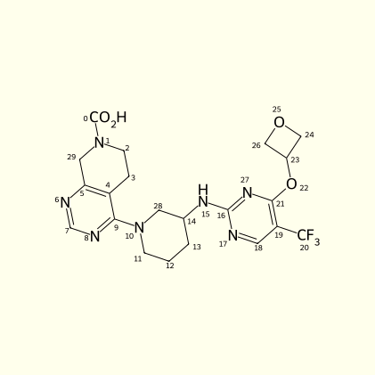 O=C(O)N1CCc2c(ncnc2N2CCCC(Nc3ncc(C(F)(F)F)c(OC4COC4)n3)C2)C1